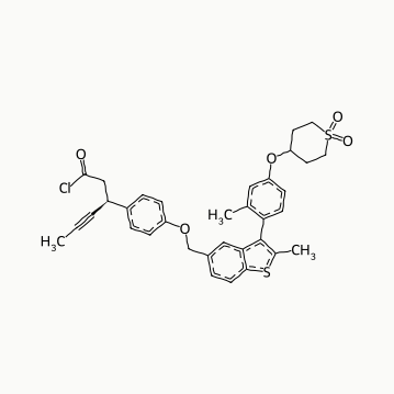 CC#C[C@@H](CC(=O)Cl)c1ccc(OCc2ccc3sc(C)c(-c4ccc(OC5CCS(=O)(=O)CC5)cc4C)c3c2)cc1